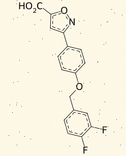 O=C(O)c1cc(-c2ccc(OCc3ccc(F)c(F)c3)cc2)no1